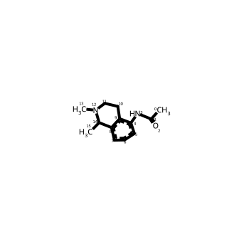 CC(=O)Nc1cccc2c1CCN(C)C2C